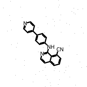 N#Cc1cccc2ccnc(Nc3ccc(-c4ccncc4)cc3)c12